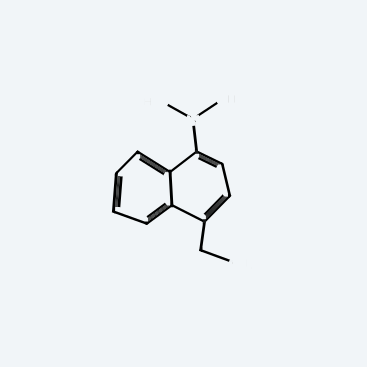 CCc1ccc(N(C)C)c2ccccc12